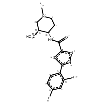 CCN1CC[C@H](NC(=O)c2nnc(-c3ccc(F)cc3F)s2)[C@@H](C(=O)O)C1